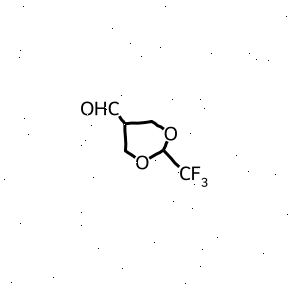 O=CC1COC(C(F)(F)F)OC1